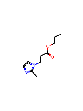 CCCOC(=O)CCn1c[c]nc1C